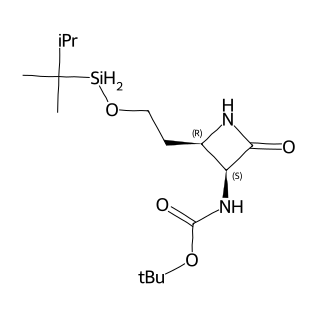 CC(C)C(C)(C)[SiH2]OCC[C@H]1NC(=O)[C@H]1NC(=O)OC(C)(C)C